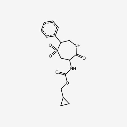 O=C(NC1CS(=O)(=O)C(c2ccccc2)CNC1=O)OCC1CC1